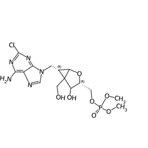 COP(=O)(OC)OC[C@H]1OC2[C@@H](Cn3cnc4c(N)nc(Cl)nc43)C2(CO)C1O